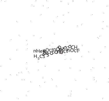 CCCCCCCCC1(CCCCCCCC)c2cc(C)ccc2-c2ccc(-c3c4ccccc4c(-c4ccc5c(c4)C(CCCCCCCC)(CCCCCCCC)c4cc(-c6cc7c(s6)c6sc(C)cc6n7CCCCCC)ccc4-5)c4ccccc34)cc21